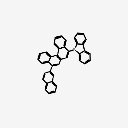 c1ccc2cc(-c3cc4cc(-n5c6ccccc6c6ccccc65)c5ccccc5c4c4ccccc34)ccc2c1